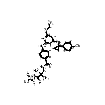 CCS(=O)(=O)NC(=O)C(C)(C)CNC(=O)c1ccc(Nc2nc(NC3(c4ccc(Cl)cc4)CC3)nc(OCC(F)(F)F)n2)cc1